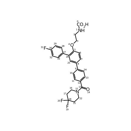 O=C(O)NCCOc1ccc(-c2ccc(C(=O)N3CCC(F)(F)CC3)cc2)cc1-c1ccc(F)cc1